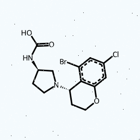 O=C(O)N[C@@H]1CCN([C@H]2CCOc3cc(Cl)cc(Br)c32)C1